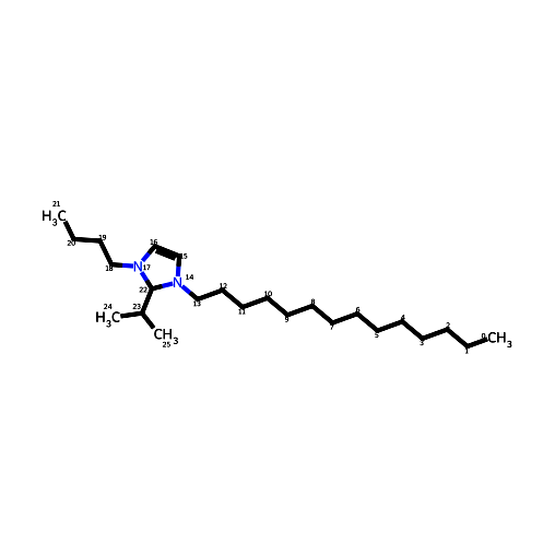 CCCCCCCCCCCCCCN1C=CN(CCCC)C1C(C)C